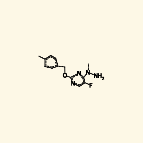 Cc1ccc(COc2ncc(F)c(N(C)N)n2)cc1